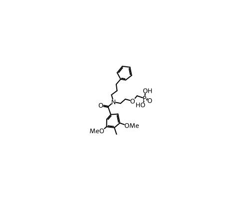 COc1cc(C(=O)N(CCCc2ccccc2)CCOCP(=O)(O)O)cc(OC)c1C